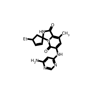 CCC1C=CC2(C1)NC(=O)c1c(C)cc(Nc3cc(N)ncn3)c(=O)n12